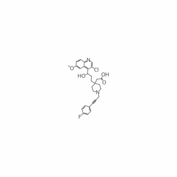 COc1ccc2ncc(Cl)c(C(O)CCC3(CC(=O)O)CCN(CC#Cc4ccc(F)cc4)CC3)c2c1